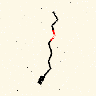 C#CCCCCOCC[CH2]